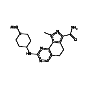 CON1CCC(Nc2ncc3c(n2)-c2c(c(C(N)=O)nn2C)CC3)CC1